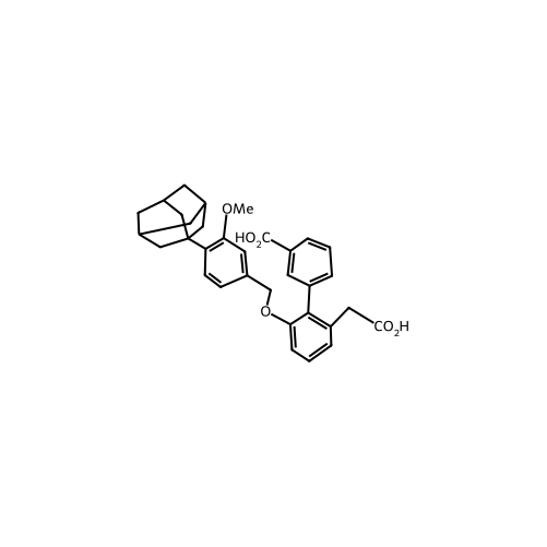 COc1cc(COc2cccc(CC(=O)O)c2-c2cccc(C(=O)O)c2)ccc1C12CC3CC(CC(C3)C1)C2